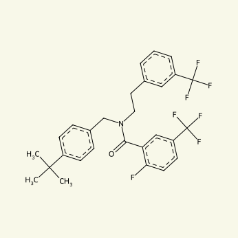 CC(C)(C)c1ccc(CN(CCc2cccc(C(F)(F)F)c2)C(=O)c2cc(C(F)(F)F)ccc2F)cc1